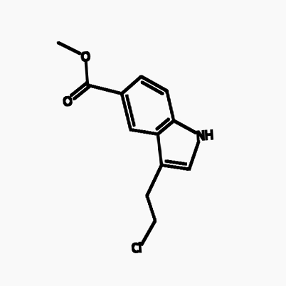 COC(=O)c1ccc2[nH]cc(CCCl)c2c1